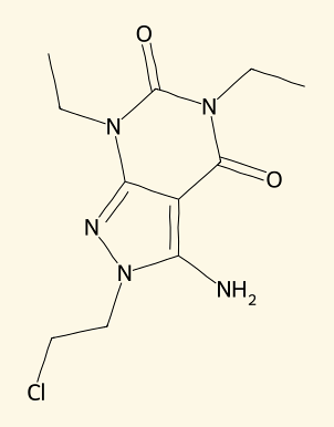 CCn1c(=O)c2c(N)n(CCCl)nc2n(CC)c1=O